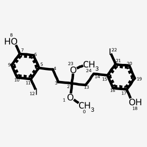 COC(CCc1cc(O)ccc1I)(CCc1cc(O)ccc1I)OC